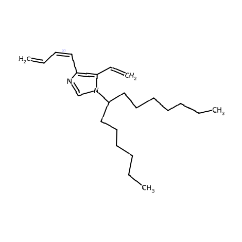 C=C/C=C\c1ncn(C(CCCCCC)CCCCCCC)c1C=C